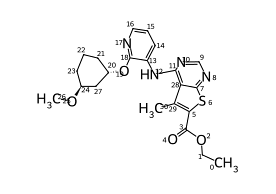 CCOC(=O)c1sc2ncnc(Nc3cccnc3O[C@H]3CCC[C@H](OC)C3)c2c1C